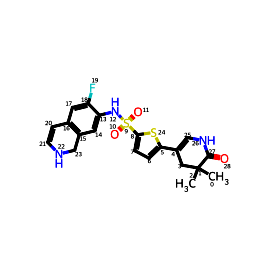 CC1(C)CC(c2ccc(S(=O)(=O)Nc3cc4c(cc3F)C=CNC4)s2)=CNC1=O